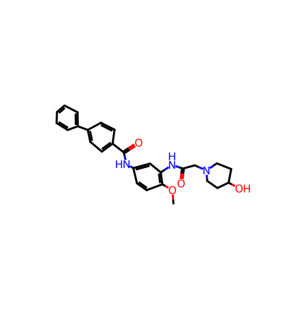 COc1ccc(NC(=O)c2ccc(-c3ccccc3)cc2)cc1NC(=O)CN1CCC(O)CC1